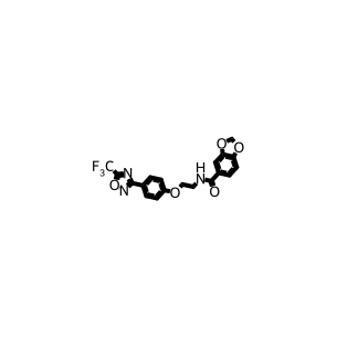 O=C(NCCOc1ccc(-c2noc(C(F)(F)F)n2)cc1)c1ccc2c(c1)OCO2